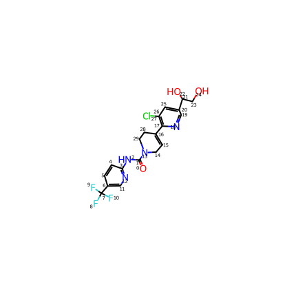 O=C(Nc1ccc(C(F)(F)F)cn1)N1CC=C(c2ncc(C(O)CO)cc2Cl)CC1